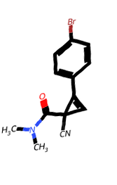 CN(C)C(=O)C1(C#N)C=C1c1ccc(Br)cc1